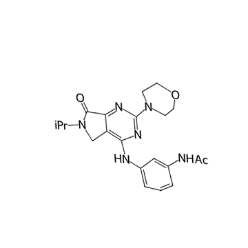 CC(=O)Nc1cccc(Nc2nc(N3CCOCC3)nc3c2CN(C(C)C)C3=O)c1